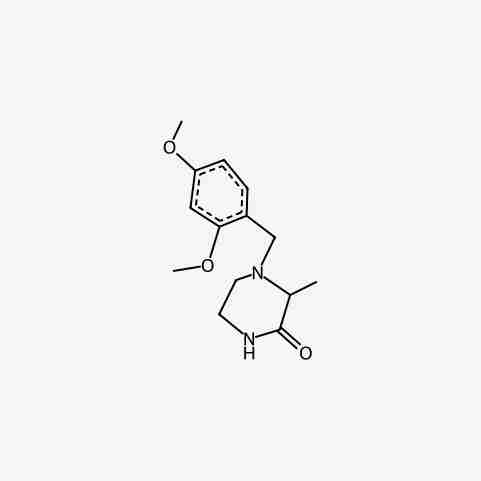 COc1ccc(CN2CCNC(=O)C2C)c(OC)c1